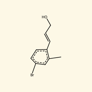 Cc1cc(Br)ccc1C=CCO